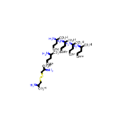 CSCCC(N)C(=O)O.CSCCC(N)C(=O)O.CSCCC(N)C(=O)O.CSCCC(N)C(=O)O.CSCCC(N)C(=O)O.NC(CSSCC(N)C(=O)O)C(=O)O